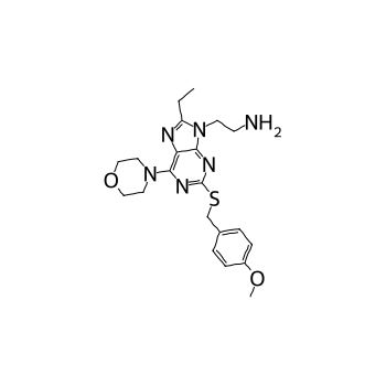 CCc1nc2c(N3CCOCC3)nc(SCc3ccc(OC)cc3)nc2n1CCN